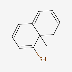 CC12CC=CC=C1C=CC=C2S